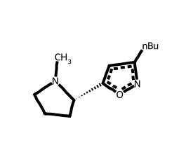 CCCCc1cc([C@@H]2CCCN2C)on1